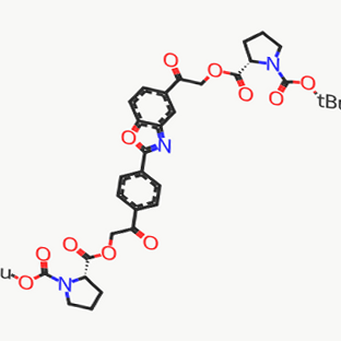 CC(C)(C)OC(=O)N1CCC[C@H]1C(=O)OCC(=O)c1ccc(-c2nc3cc(C(=O)COC(=O)[C@@H]4CCCN4C(=O)OC(C)(C)C)ccc3o2)cc1